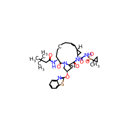 CC(C)(C)CC(=O)N[C@H]1CCCCC/C=C\[C@@H]2C[C@@]2(C(=O)NS(=O)(=O)C2(C)CC2)NC(=O)[C@@H]2C[C@@H](Oc3nc4ccccc4s3)CN2C1=O